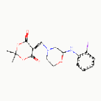 CC1(C)OC(=O)C(=CN2CCOC(Nc3ccccc3I)C2)C(=O)O1